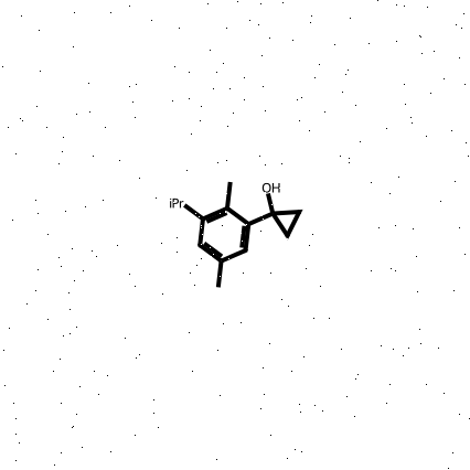 Cc1cc(C(C)C)c(C)c(C2(O)CC2)c1